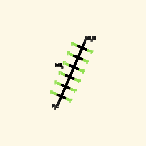 O=S(=O)(O)C(F)(F)C(F)(F)C(F)(F)C(F)(F)C(F)(F)C(F)(F)C(F)(F)F.[InH3]